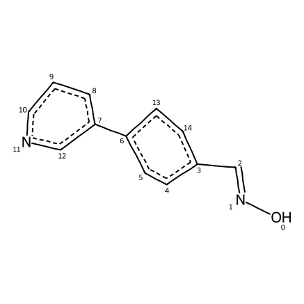 O/N=C/c1ccc(-c2cccnc2)cc1